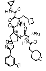 CC(C)(C)[C@H](NC(=O)CC1CCOCC1)C(=O)N1C[C@@]2(CC(c3cccc(Cl)c3)=NO2)C[C@H]1C(=O)NC(CC1CCC1)C(=O)C(=O)NC1CC1